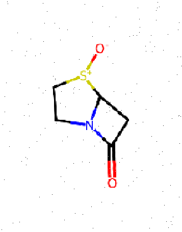 O=C1CC2N1CC[S+]2[O-]